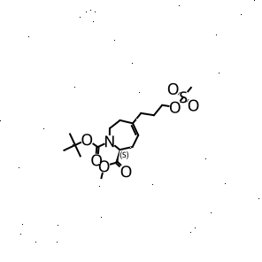 COC(=O)[C@@H]1CC=C(CCCOS(C)(=O)=O)CCN1C(=O)OC(C)(C)C